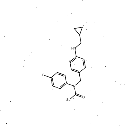 CC(C)(C)C(=O)N(Cc1ccc(NCC2CC2)nc1)c1ccc(F)cc1